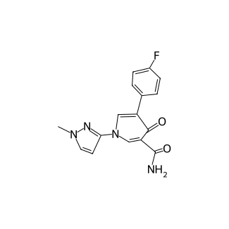 Cn1ccc(-n2cc(C(N)=O)c(=O)c(-c3ccc(F)cc3)c2)n1